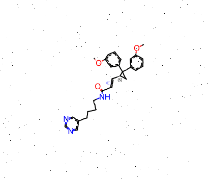 COc1cccc(C2(c3cccc(OC)c3)C[C@H]2/C=C/C(=O)NCCCCc2cncnc2)c1